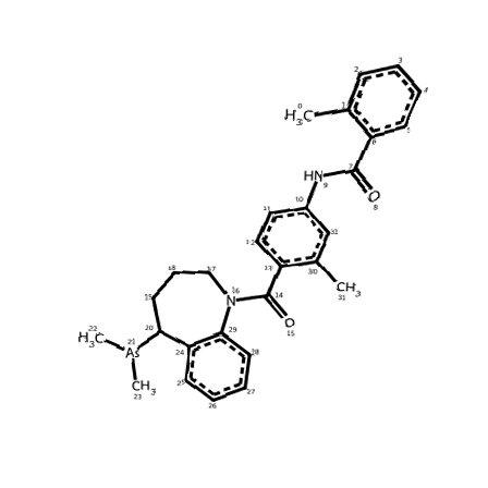 Cc1ccccc1C(=O)Nc1ccc(C(=O)N2CCCC([As](C)C)c3ccccc32)c(C)c1